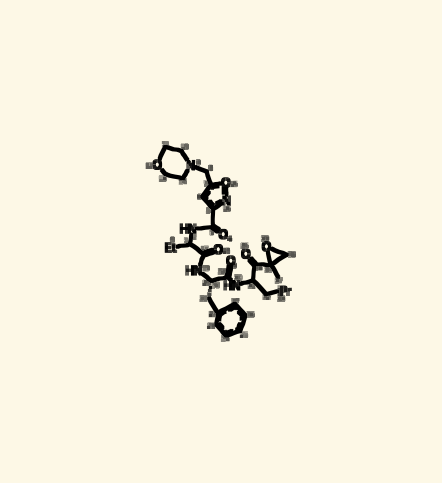 CCC(NC(=O)c1cc(CN2CCOCC2)on1)C(=O)N[C@@H](Cc1ccccc1)C(=O)NC(CC(C)C)C(=O)C1(C)CO1